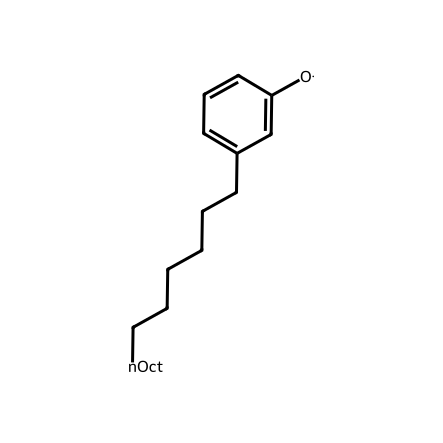 CCCCCCCCCCCCCCc1cccc([O])c1